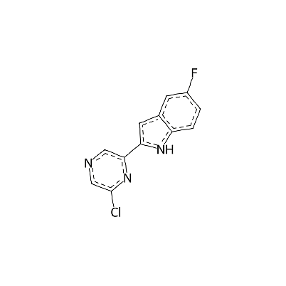 Fc1ccc2[nH]c(-c3cncc(Cl)n3)cc2c1